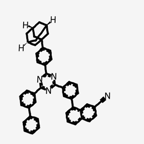 N#Cc1ccc2cccc(-c3cccc(-c4nc(-c5ccc(C67C[C@H]8C[C@H](C6)C[C@@H](C7)C8)cc5)nc(-c5cccc(-c6ccccc6)c5)n4)c3)c2c1